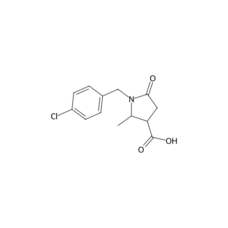 CC1C(C(=O)O)CC(=O)N1Cc1ccc(Cl)cc1